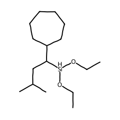 CCO[SiH](OCC)C(CC(C)C)C1CCCCCC1